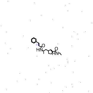 CCNC(=O)C1=CC(CC(C)NC(=O)/C=C/c2ccccc2)CC1